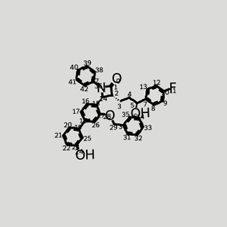 O=C1[C@H](CC[C@H](O)c2ccc(F)cc2)[C@@H](c2ccc(-c3cccc(O)c3)cc2OCc2ccccc2)N1c1ccccc1